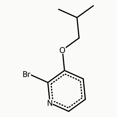 CC(C)COc1cccnc1Br